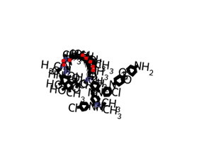 CC(C)/N=c1\cc2n(-c3ccc(Cl)cc3)c3ccccc3nc-2cc1Nc1ccc(Cl)cc1.CO[C@H]1/C=C/O[C@@]2(C)Oc3c(C)c(O)c4c(O)c(c(/C=N/N5CCN(C)CC5)c(O)c4c3C2=O)NC(=O)/C(C)=C\C=C\[C@H](C)[C@H](O)[C@@H](C)[C@@H](O)[C@@H](C)[C@H](OC(C)=O)[C@@H]1C.Nc1ccc(S(=O)(=O)c2ccc(N)cc2)cc1